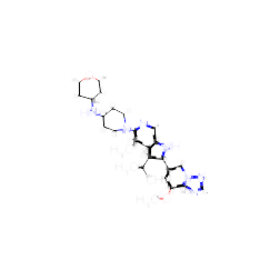 COc1cc(-c2[nH]c3cnc(N4CCC(NC5CCOCC5)CC4)c(C)c3c2C(C)C)cn2ncnc12